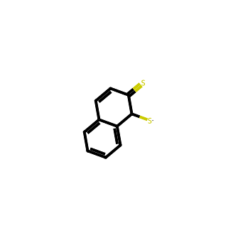 [S]C1C(=S)C=Cc2ccccc21